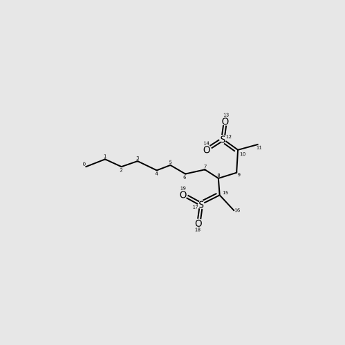 CCCCCCCCC(CC(C)=S(=O)=O)C(C)=S(=O)=O